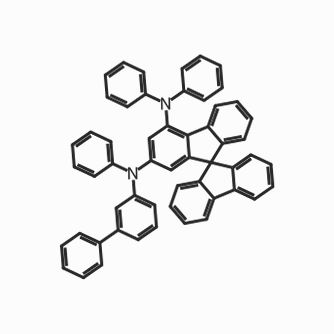 c1ccc(-c2cccc(N(c3ccccc3)c3cc(N(c4ccccc4)c4ccccc4)c4c(c3)C3(c5ccccc5-c5ccccc53)c3ccccc3-4)c2)cc1